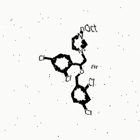 CCCCCCCCn1cc[n+](CC(OCc2ccc(Cl)cc2Cl)c2ccc(Cl)cc2Cl)c1.[Br-]